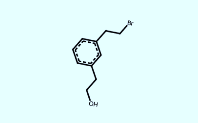 OCCc1cccc(CCBr)c1